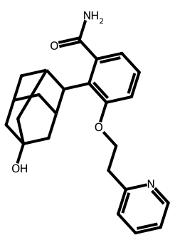 NC(=O)c1cccc(OCCc2ccccn2)c1C1C2CC3CC1CC(O)(C3)C2